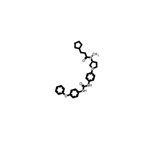 CN(C(=O)CCC1CCCC1)C1CCN(c2ccc(NC(=O)Nc3ccc(Oc4ccccc4)cc3)cc2)C1